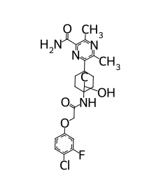 Cc1nc(C)c(C23CCC(NC(=O)COc4ccc(Cl)c(F)c4)(CC2)C(O)C3)nc1C(N)=O